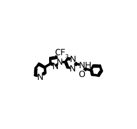 O=C(Nc1ncc(-n2nc(-c3cccnc3)cc2C(F)(F)F)cn1)c1ccccc1